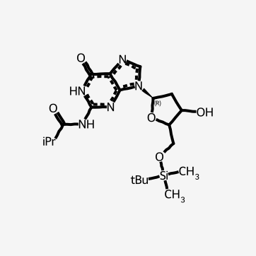 CC(C)C(=O)Nc1nc2c(ncn2[C@H]2CC(O)C(CO[Si](C)(C)C(C)(C)C)O2)c(=O)[nH]1